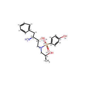 C[C@H](O)CN(C[C@@H](O)[C@@H](N)Cc1ccccc1)S(=O)(=O)c1ccc(O)cc1